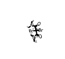 CN(C)C(=O)C(Br)(Br)C(=O)N(C)C